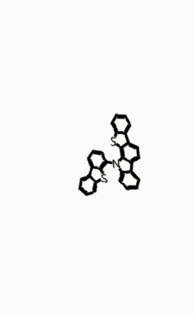 c1ccc2c(c1)sc1c(-n3c4ccccc4c4ccc5c6ccccc6sc5c43)cccc12